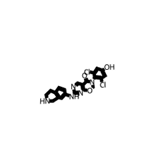 O=C1c2cnc(Nc3ccc4c(c3)CNCC4)nc2OCN1c1c(Cl)cc(O)cc1Cl